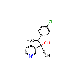 C#CC(O)(c1cccnc1)C(C)c1ccc(Cl)cc1